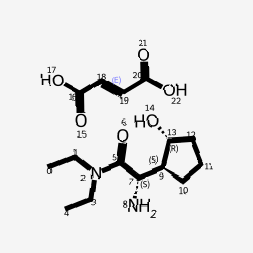 CCN(CC)C(=O)[C@@H](N)[C@@H]1CCC[C@H]1O.O=C(O)/C=C/C(=O)O